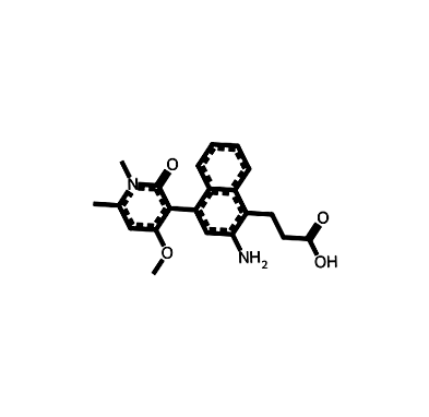 COc1cc(C)n(C)c(=O)c1-c1cc(N)c(CCC(=O)O)c2ccccc12